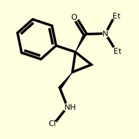 CCN(CC)C(=O)[C@@]1(c2ccccc2)C[C@H]1CNCl